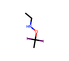 CCNOC(C)(I)I